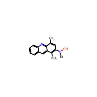 CCN(O)c1cc(C)c2nc3ccccc3cc2c1[N+](=O)[O-]